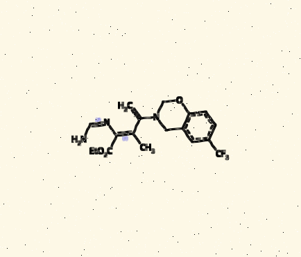 C=C(/C(C)=C(\N=C/N)C(=O)OCC)N1COc2ccc(C(F)(F)F)cc2C1